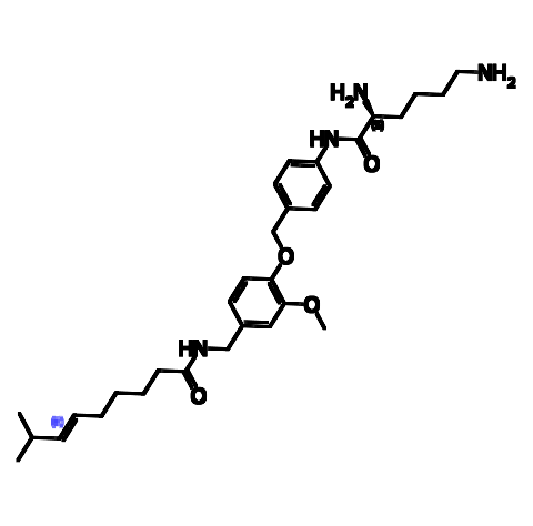 COc1cc(CNC(=O)CCCC/C=C/C(C)C)ccc1OCc1ccc(NC(=O)[C@@H](N)CCCCN)cc1